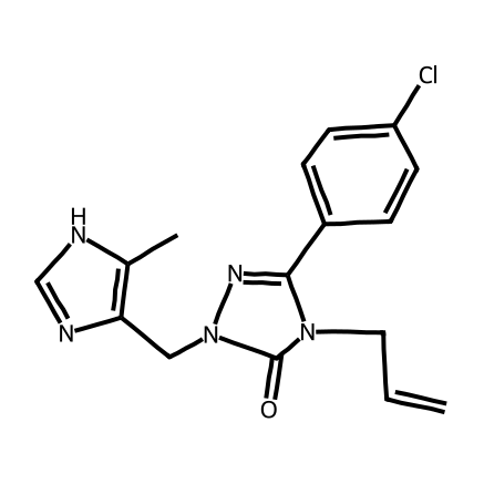 C=CCn1c(-c2ccc(Cl)cc2)nn(Cc2nc[nH]c2C)c1=O